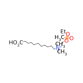 CCOP(C)(=O)OCC[N+](C)(C)CCCCCCCCCCC(=O)O